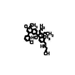 C#CCNCc1ccc(C(O)(/C(=C/N)N(C)C=C)c2ccc3c(c2)c(-c2cccc(Cl)c2)cc(=O)n3C)cc1